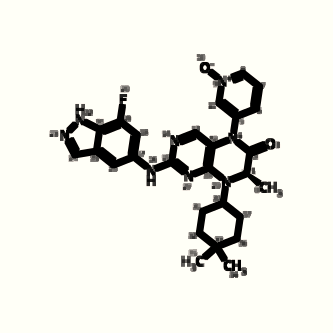 C[C@@H]1C(=O)N(c2ccc[n+]([O-])c2)c2cnc(Nc3cc(F)c4[nH]ncc4c3)nc2N1C1CCC(C)(C)CC1